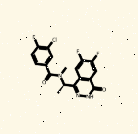 C[C@H](c1n[nH]c(=O)c2cc(F)c(F)cc12)N(C)C(=O)c1ccc(F)c(Cl)c1